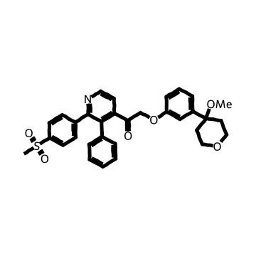 COC1(c2cccc(OCC(=O)c3ccnc(-c4ccc(S(C)(=O)=O)cc4)c3-c3ccccc3)c2)CCOCC1